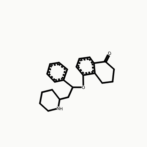 O=C1CCCc2c(OC(CC3CCCCN3)c3ccccc3)cccc21